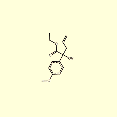 C=CCC(O)(C(=O)OCC)c1ccc(OC)cc1